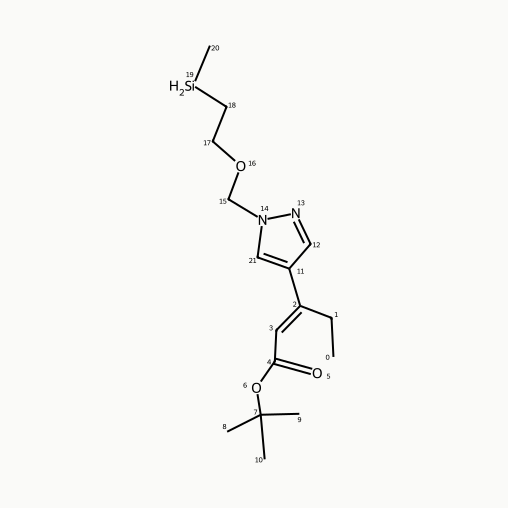 CC/C(=C\C(=O)OC(C)(C)C)c1cnn(COCC[SiH2]C)c1